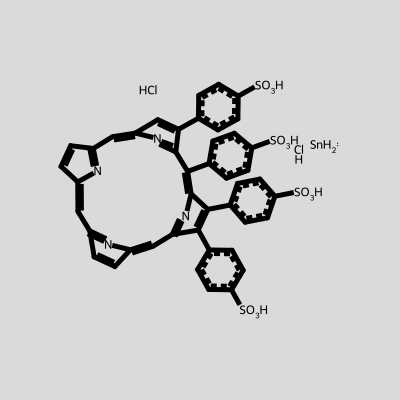 Cl.Cl.O=S(=O)(O)c1ccc(C2=CC3=CC4=NC(=CC5=NC(=CC6=NC(=C(c7ccc(S(=O)(=O)O)cc7)C2=N3)C(c2ccc(S(=O)(=O)O)cc2)=C6c2ccc(S(=O)(=O)O)cc2)C=C5)C=C4)cc1.[SnH2]